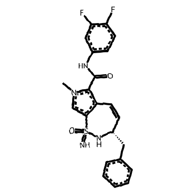 Cn1cc2c(c1C(=O)Nc1ccc(F)c(F)c1)C=C[C@H](Cc1ccccc1)NS2(=N)=O